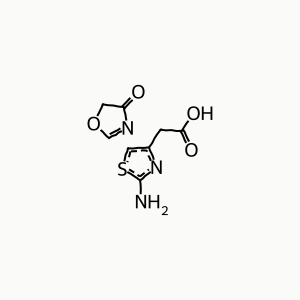 Nc1nc(CC(=O)O)cs1.O=C1COC=N1